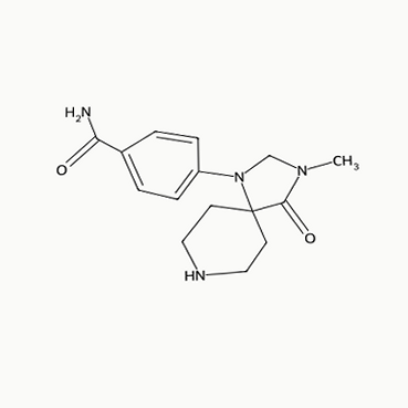 CN1CN(c2ccc(C(N)=O)cc2)C2(CCNCC2)C1=O